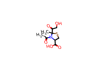 CC(=O)N1C(C(=O)O)CSC1(C)C(=O)CO